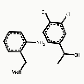 CC(O)c1ccc(Cl)c(Cl)c1.CNCc1ccccc1N